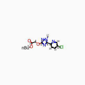 CCCCOC(=O)COc1nc(-c2ccc(Cl)cn2)n(C)n1